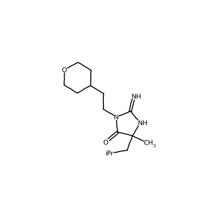 CC(C)CC1(C)NC(=N)N(CCC2CCOCC2)C1=O